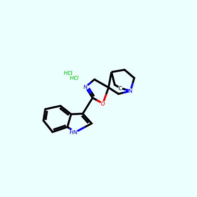 Cl.Cl.c1ccc2c(C3=NCC4(CN5CCC4CC5)O3)c[nH]c2c1